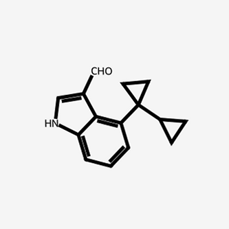 O=Cc1c[nH]c2cccc(C3(C4CC4)CC3)c12